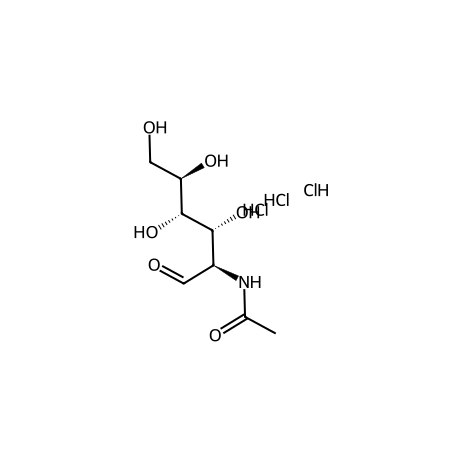 CC(=O)N[C@@H](C=O)[C@@H](O)[C@H](O)[C@H](O)CO.Cl.Cl.Cl